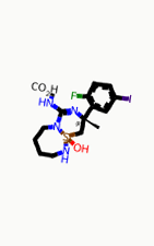 C[C@@]1(c2cc(I)ccc2F)CS2(O)NCCCCN2C(NC(=O)O)=N1